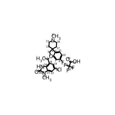 CC(OCC1(c2ccc(F)cc2)CCN(C)CC1)c1cc(Cl)cc2c1[nH]c(=O)n2C.O=C(O)C(F)(F)F